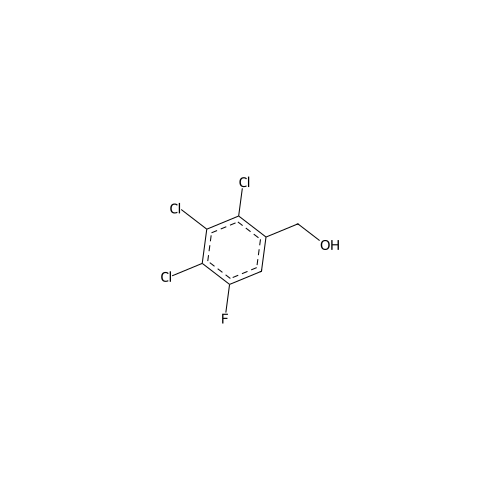 OCc1cc(F)c(Cl)c(Cl)c1Cl